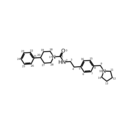 O=C(NCCc1ccc(CN2CCCC2)cc1)N1CCC(c2ccccc2)CC1